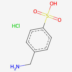 Cl.NCc1ccc(S(=O)(=O)O)cc1